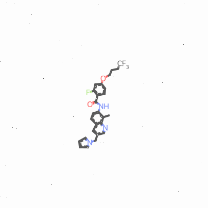 Cc1c(NC(=O)c2ccc(OCCCC(F)(F)F)cc2F)ccc2cc(Cn3cccc3)cnc12